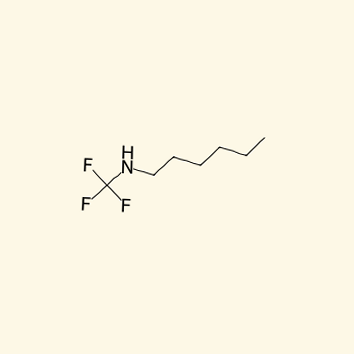 CCCCCCNC(F)(F)F